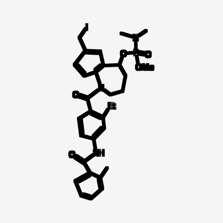 CCc1cc(NC(=O)c2ccccc2C)ccc1C(=O)N1CCCC(OP(=O)(OC)N(C)C)c2cc(CI)ccc21